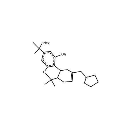 CCCCCCC(C)(C)c1cc(O)c2c(c1)OC(C)(C)C1CC=C(CN3CCCC3)CC21